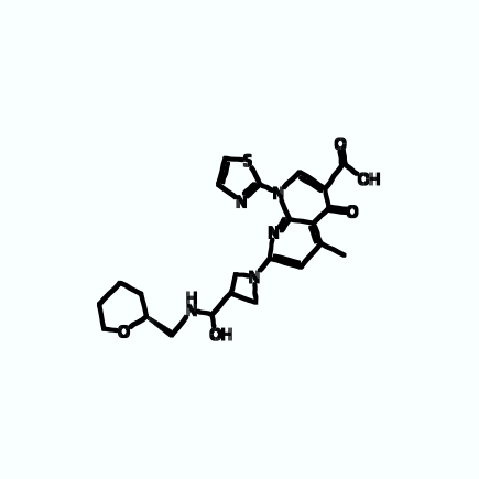 Cc1cc(N2CC(C(O)NC[C@@H]3CCCCO3)C2)nc2c1c(=O)c(C(=O)O)cn2-c1nccs1